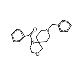 O=C(c1ccccc1)N1CCOCC12CCN(Cc1ccccc1)CC2